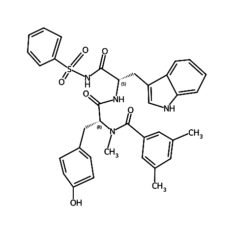 Cc1cc(C)cc(C(=O)N(C)[C@H](Cc2ccc(O)cc2)C(=O)N[C@@H](Cc2c[nH]c3ccccc23)C(=O)NS(=O)(=O)c2ccccc2)c1